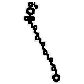 Cc1ccc(S(=O)(=O)OCCOCCOCCOCCOCCOCCOCc2ccccc2)cc1